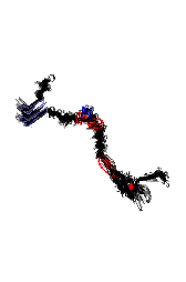 CCCCC/C=C\C/C=C\CCCCCCCCOC[C@@H](CN(C)C)OCCCCCCCCO[C@H]1CC[C@@]2(C)C(=CC[C@H]3[C@@H]4CC[C@H]([C@H](C)CCCC(C)C)[C@@]4(C)CC[C@@H]32)C1